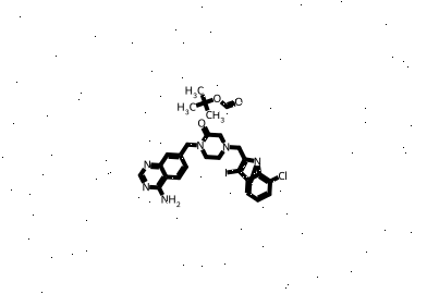 CC(C)(C)OC=O.Nc1ncnc2cc(CN3CCN(Cc4c(I)c5c6ccc(Cl)c5n46)CC3=O)ccc12